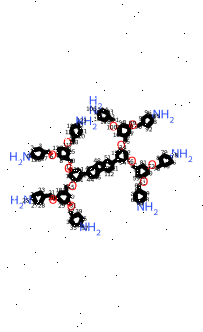 Nc1ccc(COc2cc(COc3cc(OCc4cc(OCc5ccc(N)cc5)cc(OCc5ccc(N)cc5)c4)cc(-c4ccc5c(c4)Cc4cc(-c6cc(OCc7cc(OCc8ccc(N)cc8)cc(OCc8ccc(N)cc8)c7)cc(OCc7cc(OCc8ccc(N)cc8)cc(OCc8ccc(N)cc8)c7)c6)ccc4-5)c3)cc(OCc3ccc(N)cc3)c2)cc1